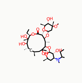 CCC(C)N(C)[C@H]1C[C@@H](C)O[C@@H](O[C@@H]2[C@@H](C)[C@H](O[C@H]3C[C@@](C)(OC)[C@@H](O)[C@H](C)O3)[C@@H](C)C(=O)O[C@H](CC)[C@@](C)(O)[C@H](O)[C@@H](C)C[C@H](C)CC2(C)O)[C@@H]1O